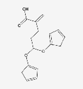 C=C(CCC(OC1=CC=CC1)OC1=CC=CC1)C(=O)O